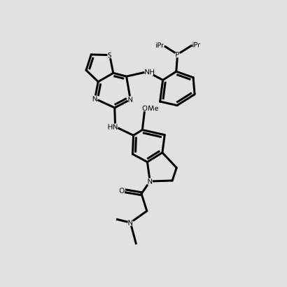 COc1cc2c(cc1Nc1nc(Nc3ccccc3P(C(C)C)C(C)C)c3sccc3n1)N(C(=O)CN(C)C)CC2